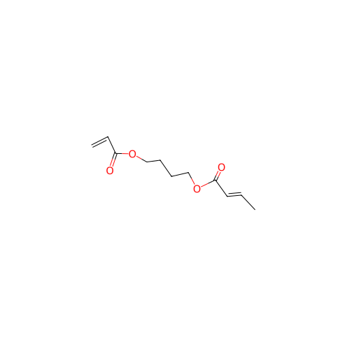 C=CC(=O)OCCCCOC(=O)C=CC